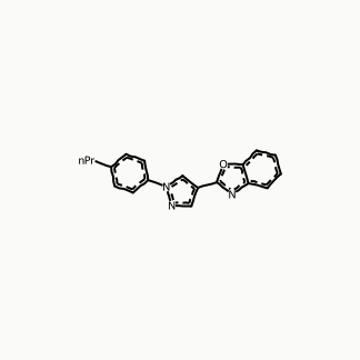 CCCc1ccc(-n2cc(-c3nc4ccccc4o3)cn2)cc1